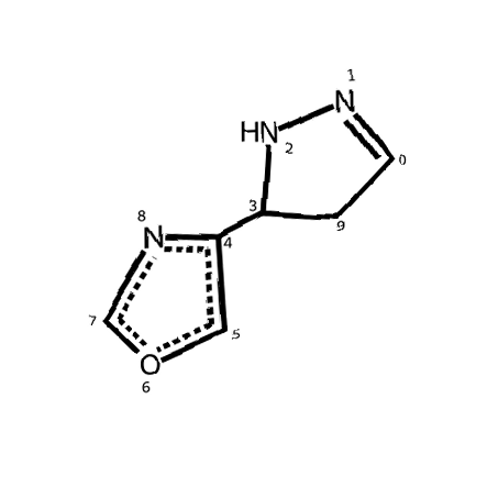 C1=NNC(c2cocn2)C1